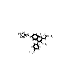 [CH2]c1c(CC(C)C)nc2ccc(OCc3nn[nH]n3)cc2c1-c1ccc(C)cc1